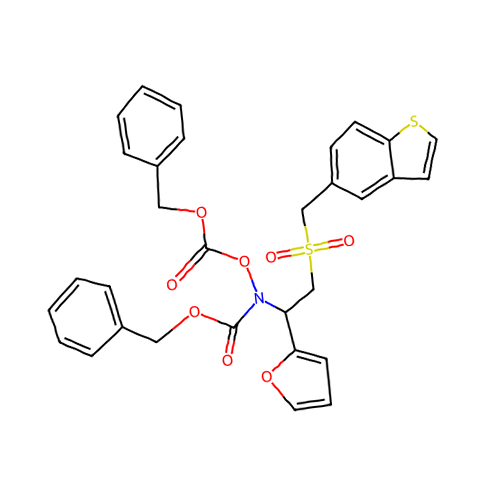 O=C(OCc1ccccc1)ON(C(=O)OCc1ccccc1)C(CS(=O)(=O)Cc1ccc2sccc2c1)c1ccco1